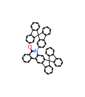 O=c1c2ccccc2c2cc3c(cc2n1-c1ccc2c(c1)C1(c4ccccc4-c4ccccc41)c1ccccc1-2)C1(c2ccccc2-c2ccccc21)c1ccccc1-3